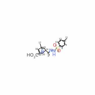 C/C(=N\NS(=O)(=O)c1ccc(C)cc1)C1CC2(C)C=CC1N(C(=O)O)C2